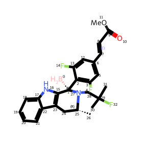 B[C@@]1(c2c(F)cc(/C=C/C(=O)OC)cc2F)c2[nH]c3ccccc3c2C[C@@H](C)N1CC(C)(C)F